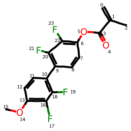 C=C(C)C(=O)Oc1ccc(-c2ccc(OC)c(F)c2F)c(F)c1F